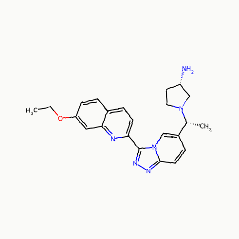 CCOc1ccc2ccc(-c3nnc4ccc([C@@H](C)N5CC[C@H](N)C5)cn34)nc2c1